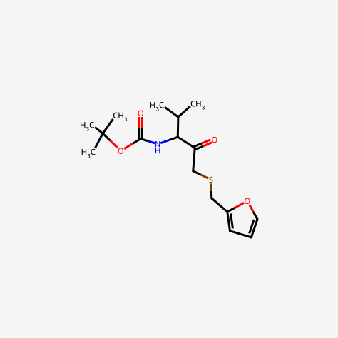 CC(C)C(NC(=O)OC(C)(C)C)C(=O)CSCc1ccco1